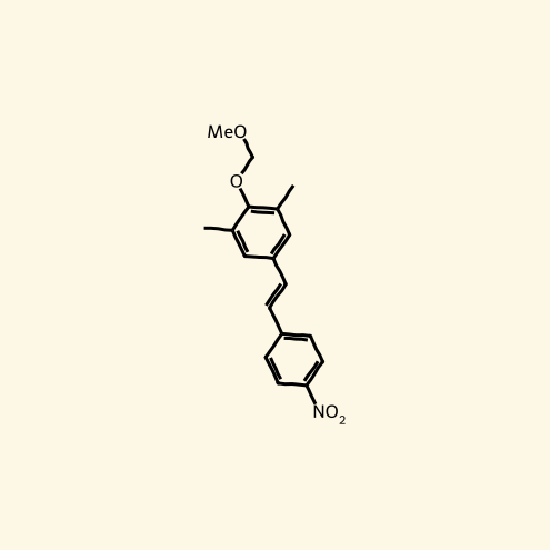 COCOc1c(C)cc(C=Cc2ccc([N+](=O)[O-])cc2)cc1C